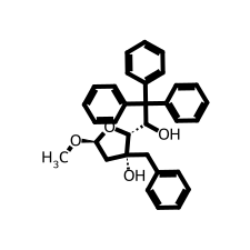 CO[C@@H]1C[C@](O)(Cc2ccccc2)[C@@H](C(O)C(c2ccccc2)(c2ccccc2)c2ccccc2)O1